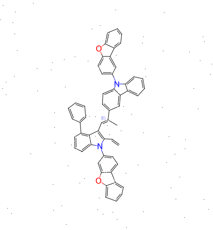 C=Cc1c(/C=C(\C)c2ccc3c(c2)c2ccccc2n3-c2ccc3oc4ccccc4c3c2)c2c(-c3ccccc3)cccc2n1-c1ccc2c(c1)oc1ccccc12